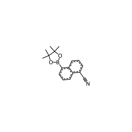 CC1(C)OB(c2cccc3c(C#N)cccc23)OC1(C)C